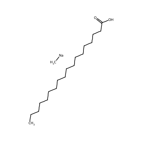 CCCCCCCCCCCCCCCCCC(=O)O.[CH3][Na]